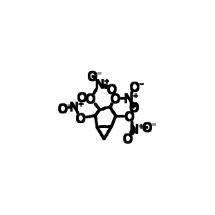 O=[N+]([O-])OC1C2CC2C(O[N+](=O)[O-])C(O[N+](=O)[O-])C1O[N+](=O)[O-]